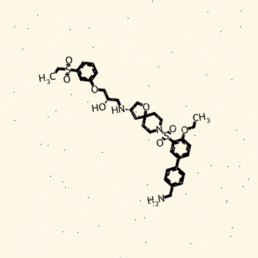 CCOc1ccc(-c2ccc(CN)cc2)cc1S(=O)(=O)N1CCC2(CC1)C[C@H](NC[C@H](O)COc1cccc(S(=O)(=O)CC)c1)CO2